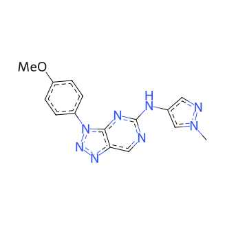 COc1ccc(-n2nnc3cnc(Nc4cnn(C)c4)nc32)cc1